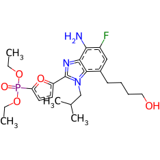 CCOP(=O)(OCC)c1ccc(-c2nc3c(N)c(F)cc(CCCCO)c3n2CC(C)C)o1